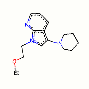 CCOCCn1cc(N2CCCCC2)c2cccnc21